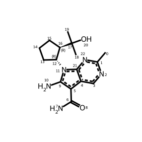 Cc1ncc2c(C(N)=O)c(N)n([C@@H]3CCC[C@H]3C(C)(C)O)c2n1